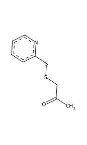 CC(=O)CSSc1ccccn1